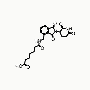 O=C(O)CCCCCC(=O)NCc1cccc2c1C(=O)N(C1CCC(=O)NC1=O)C2=O